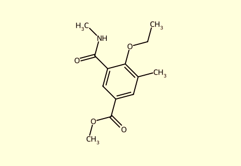 CCOc1c(C)cc(C(=O)OC)cc1C(=O)NC